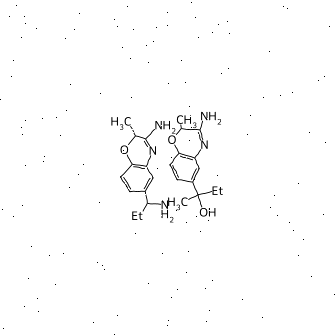 CCC(C)(O)c1ccc2c(c1)N=C(N)C(C)O2.CCC(N)c1ccc2c(c1)N=C(N)C(C)O2